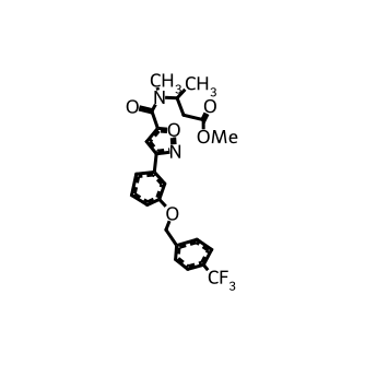 COC(=O)CC(C)N(C)C(=O)c1cc(-c2cccc(OCc3ccc(C(F)(F)F)cc3)c2)no1